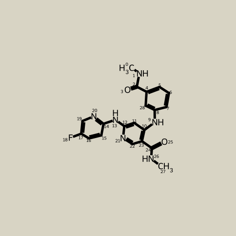 CNC(=O)c1cccc(Nc2cc(Nc3ccc(F)cn3)ncc2C(=O)NC)c1